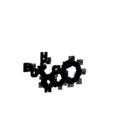 C=C(OCC)c1cnn(C/C2=C/C=C\CC#CC2)c1C